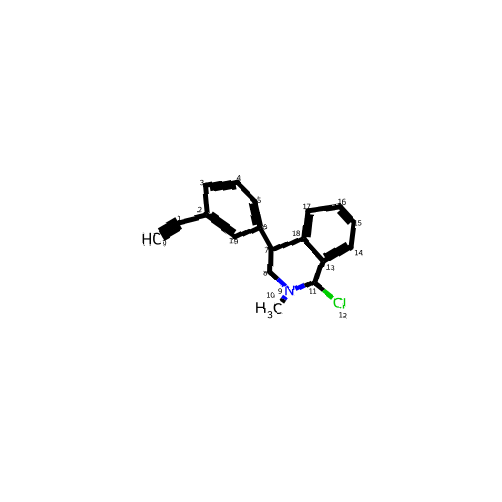 C#Cc1cccc(C2CN(C)C(Cl)c3ccccc32)c1